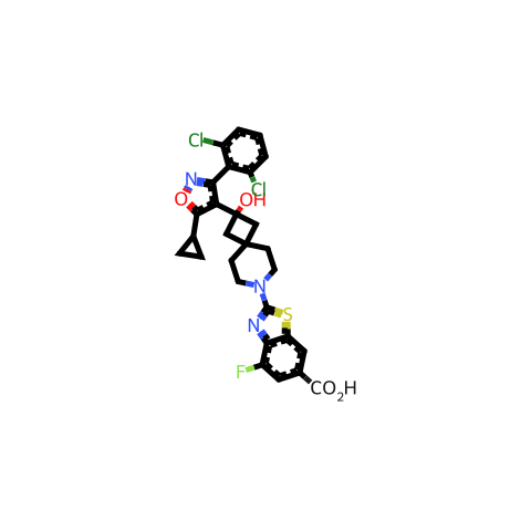 O=C(O)c1cc(F)c2nc(N3CCC4(CC3)CC(O)(c3c(-c5c(Cl)cccc5Cl)noc3C3CC3)C4)sc2c1